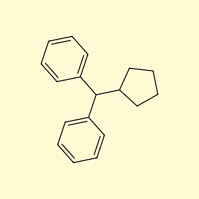 c1ccc(C(c2ccccc2)C2CCCC2)cc1